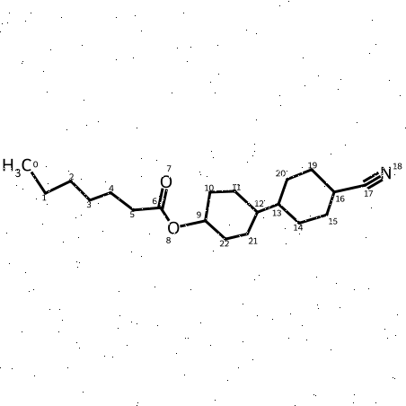 CCCCCCC(=O)OC1CCC(C2CCC(C#N)CC2)CC1